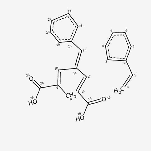 C=Cc1ccccc1.CC(=CC(C=CC(=O)O)=Cc1ccccc1)C(=O)O